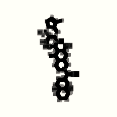 CC1=CCCC1C[C@H](NC(O)C1C(C)C2CCN(C(O)C3=CC[C@@H]4CCCC[C@@H]4C3)CC2C[C@@H]1O)[C@@H](N)O